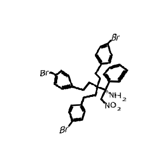 N[C@@](C[N+](=O)[O-])(c1ccccc1)C(CCc1ccc(Br)cc1)(CCc1ccc(Br)cc1)CCc1ccc(Br)cc1